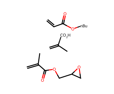 C=C(C)C(=O)O.C=C(C)C(=O)OCC1CO1.C=CC(=O)OCCCC